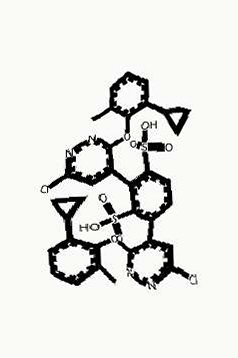 Cc1cccc(C2CC2)c1Oc1nnc(Cl)cc1-c1ccc(S(=O)(=O)O)c(-c2cc(Cl)nnc2Oc2c(C)cccc2C2CC2)c1S(=O)(=O)O